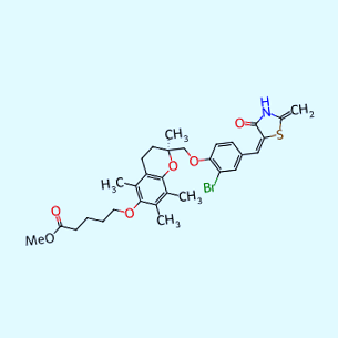 C=c1[nH]c(=O)/c(=C\c2ccc(OC[C@]3(C)CCc4c(C)c(OCCCCC(=O)OC)c(C)c(C)c4O3)c(Br)c2)s1